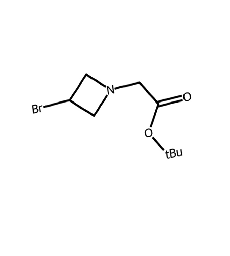 CC(C)(C)OC(=O)CN1CC(Br)C1